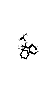 CC(OC(N)=O)(c1ccncc1)C1(O)CCCCC1